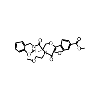 COCCN1C(=O)c2oc3cc(C(=O)OC)ccc3c2OC[C@]1(C)C(=O)NCc1ccccc1OC